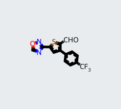 O=Cc1sc(-c2ncon2)cc1-c1ccc(C(F)(F)F)cc1